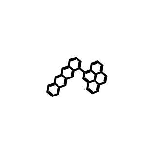 [c]1ccc2ccc3cccc4c(-c5cccc6cc7cc8ccccc8cc7cc56)cc1c2c34